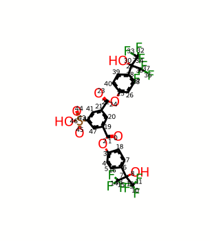 O=C(Oc1ccc(C(O)(C(F)(F)F)C(F)(F)F)cc1)c1cc(C(=O)Oc2ccc(C(O)(C(F)(F)F)C(F)(F)F)cc2)cc(S(=O)(=O)O)c1